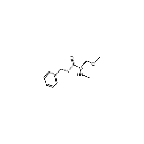 CN[C@H](COC)C(=O)NCc1ccccc1